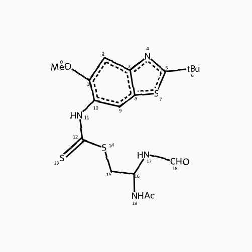 COc1cc2nc(C(C)(C)C)sc2cc1NC(=S)SCC(NC=O)NC(C)=O